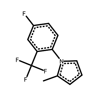 Cc1cccn1-c1ccc(F)cc1C(F)(F)F